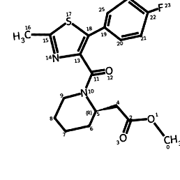 COC(=O)C[C@H]1CCCCN1C(=O)c1nc(C)sc1-c1ccc(F)cc1